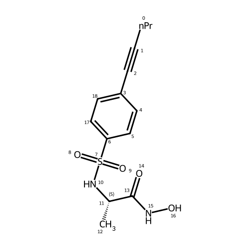 CCCC#Cc1ccc(S(=O)(=O)N[C@@H](C)C(=O)NO)cc1